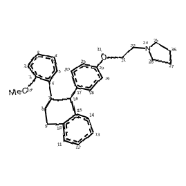 COc1ccccc1C1CCc2ccccc2C1c1ccc(OCCN2CCCC2)cc1